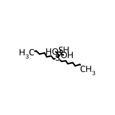 CCCCCCCS(CCCCCCC)=P(O)(O)S